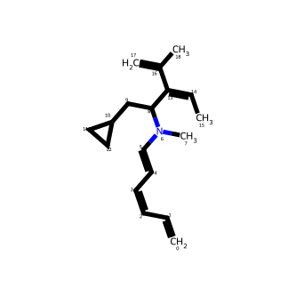 C=C/C=C\C=C\N(C)C(CC1CC1)/C(=C\C)C(=C)C